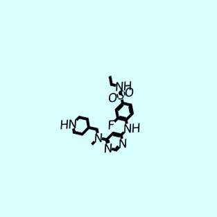 CCNS(=O)(=O)c1ccc(Nc2cc(N(C)CC3CCNCC3)ncn2)c(F)c1